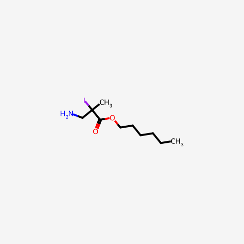 CCCCCCOC(=O)C(C)(I)CN